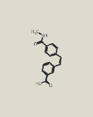 CNC(=O)c1ccc(/C=C\c2cccc(C(=O)O)c2)cc1